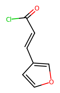 O=C(Cl)C=Cc1ccoc1